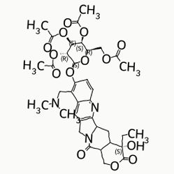 CC[C@@]1(O)C(=O)OCC2C(=O)N3Cc4cc5c(CN(C)C)c(O[C@@H]6O[C@H](COC(C)=O)[C@H](OC(C)=O)[C@H](OC(C)=O)[C@H]6OC(C)=O)ccc5nc4C3CC21